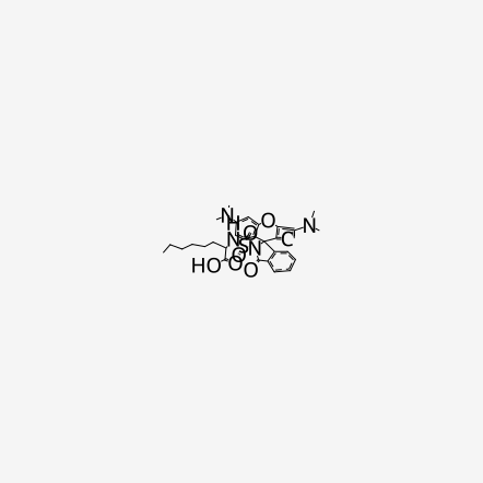 CCCCCCC(NS(=O)(=O)N1C(=O)c2ccccc2C12c1ccc(N(C)C)cc1Oc1cc(N(C)C)ccc12)C(=O)O